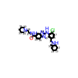 Cn1c(Nc2cc(CNC3(C)CCCCC3)ccc2Cl)nc2cc(C(=O)NCCN3CCCCC3)ccc21